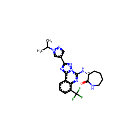 CC(C)n1cc(-c2nc3c4cccc(C(F)(F)F)c4nc(N[C@@H]4CCCCNC4=O)n3n2)cn1